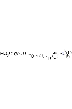 O=C(O)COCCOCCOCCOCCOc1ccc(/C=C/S(=O)(=O)F)cc1